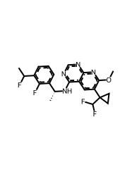 COc1nc2ncnc(N[C@H](C)c3cccc(C(C)F)c3F)c2cc1C1(C(F)F)CC1